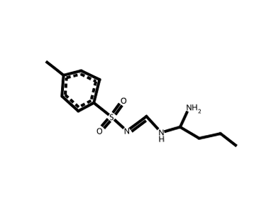 CCCC(N)NC=NS(=O)(=O)c1ccc(C)cc1